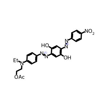 CCN(CCOC(C)=O)c1ccc(/N=N/c2cc(O)c(/N=N/c3ccc([N+](=O)[O-])cc3)cc2O)cc1